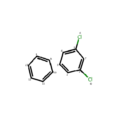 Clc1cccc(Cl)c1.[c]1ccccc1